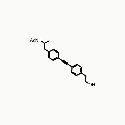 CC(=O)NC(C)Cc1ccc(C#Cc2ccc(CCO)cc2)cc1